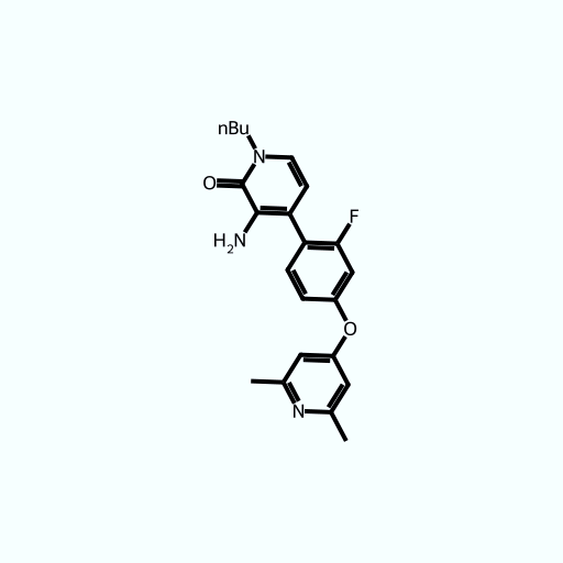 CCCCn1ccc(-c2ccc(Oc3cc(C)nc(C)c3)cc2F)c(N)c1=O